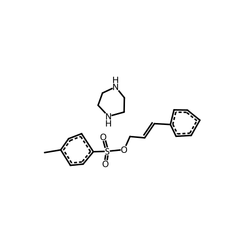 C1CNCCN1.Cc1ccc(S(=O)(=O)OC/C=C/c2ccccc2)cc1